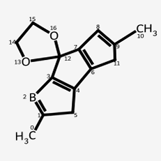 CC1=BC2=C(C1)C1=C(C=C(C)C1)C21OCCO1